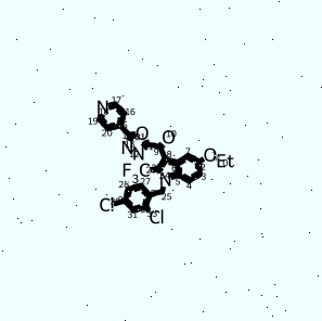 CCOc1ccc2c(c1)c(C(=O)c1nnc(-c3ccncc3)o1)c(C(F)(F)F)n2Cc1ccc(Cl)cc1Cl